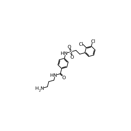 NCCCNC(=O)c1ccc(NS(=O)(=O)CCc2cccc(Cl)c2Cl)cc1